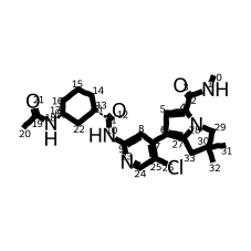 CNC(=O)c1cc(-c2cc(NC(=O)[C@H]3CCC[C@@H](NC(C)=O)C3)ncc2Cl)c2n1CC(C)(C)C2